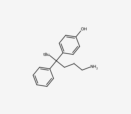 CC(C)(C)C(C[CH]CN)(c1ccccc1)c1ccc(O)cc1